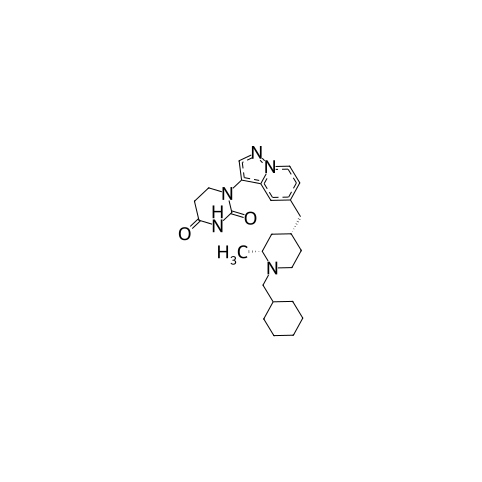 C[C@@H]1C[C@H](Cc2ccn3ncc(N4CCC(=O)NC4=O)c3c2)CCN1CC1CCCCC1